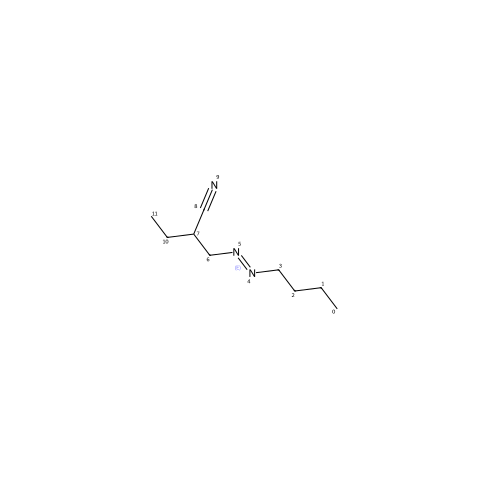 CCCC/N=N/CC(C#N)CC